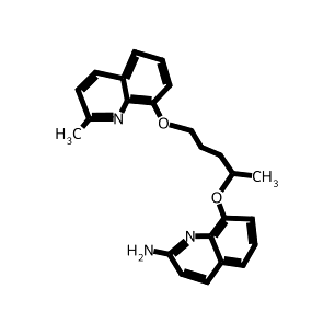 Cc1ccc2cccc(OCCCC(C)Oc3cccc4ccc(N)nc34)c2n1